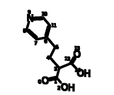 O=C(O)C(CCc1ccncc1)C(=O)O